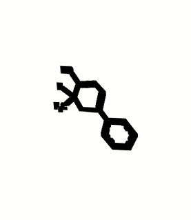 OC1=CC=C(c2ccccc2)CC1(F)C(F)(F)F